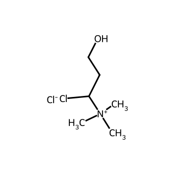 C[N+](C)(C)C(Cl)CCO.[Cl-]